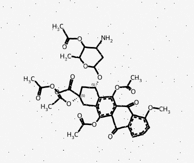 COc1cccc2c1C(=O)c1c(OC(C)=O)c3c(c(OC(C)=O)c1C2=O)C[C@@](OC(C)=O)(C(=O)COC(C)=O)C[C@@H]3OC1CC(N)C(OC(C)=O)C(C)O1